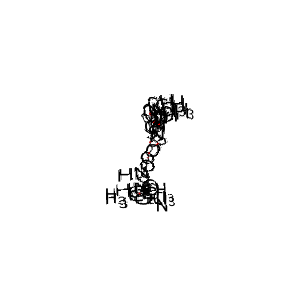 C[C@@H](C(=O)N[C@H](C(=O)N1CCC[C@H]1c1nc(-c2ccc(OCCOCCOCCNc3ccc(C(=O)NC4C(C)(C)C(Oc5ccc(C#N)c(Cl)c5)C4(C)C)cc3)c3ccccc23)cs1)C1CCCCC1)N(C)C(=O)O